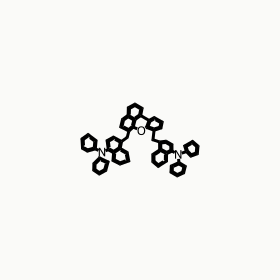 c1ccc(N(c2ccccc2)c2ccc(Cc3cccc4c3Oc3c(Cc5ccc(N(c6ccccc6)c6ccccc6)c6ccccc56)ccc5cccc-4c35)c3ccccc23)cc1